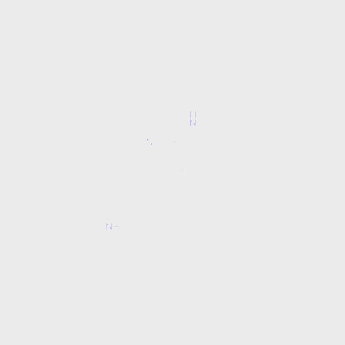 Nc1ccc2c(c1)N(C(=O)Nc1ccccc1)CC2